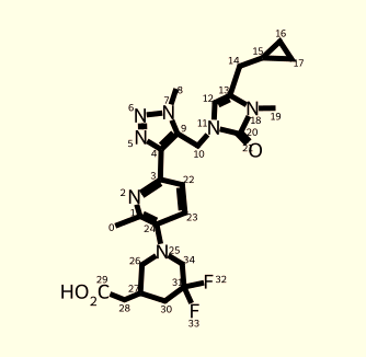 Cc1nc(-c2nnn(C)c2Cn2cc(CC3CC3)n(C)c2=O)ccc1N1CC(CC(=O)O)CC(F)(F)C1